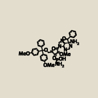 COc1ccc(C(OC[C@H]2O[C@@H](N3CN=C4C3=NC=NC4(N)C(=O)c3ccccc3)[C@H](OC)[C@@H]2OP(N)O)(c2ccccc2)c2ccc(OC)cc2)cc1